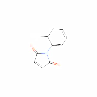 CC1CC=CC=C1N1C(=O)C=CC1=O